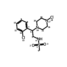 CS(=O)(=O)NCC(c1ccccc1Cl)N1CCN(Cl)CC1